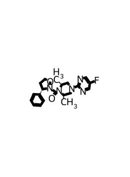 C[C@@H]1CN(c2ncc(F)cn2)C[C@H](C)N1C(=O)N1OCC[C@H]1c1ccccc1